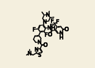 CC1CN(c2cc(F)c(C3=CCCN(C(=O)c4csc(CN(C)C)n4)C3)c(F)c2NC(=O)c2c[nH]c(=O)cc2C(F)(F)F)CC(C)N1C